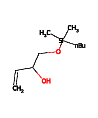 C=CC(O)CO[Si](C)(C)CCCC